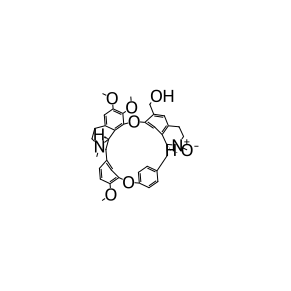 COc1ccc2cc1Oc1ccc(cc1)C[C@H]1c3cc(c(CO)cc3CC[N@+]1(C)[O-])Oc1c(OC)c(OC)cc3c1[C@H](C2)N(C)CC3